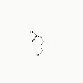 CCC(=O)OC(C)CCC(C)(C)C